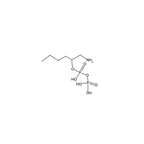 CCCCC(CN)OP(=O)(O)OP(=O)(O)O